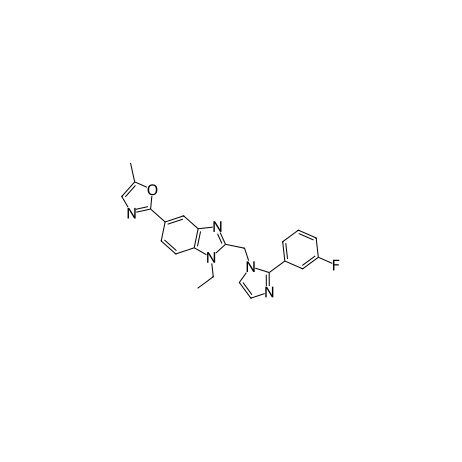 CCn1c(Cn2ccnc2-c2cccc(F)c2)nc2cc(-c3ncc(C)o3)ccc21